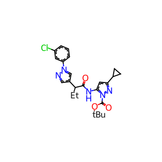 CCC(C(=O)Nc1cc(C2CC2)nn1C(=O)OC(C)(C)C)c1cnn(-c2cccc(Cl)c2)c1